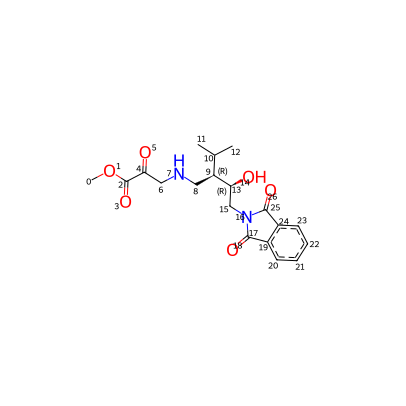 COC(=O)C(=O)CNC[C@@H](C(C)C)[C@@H](O)CN1C(=O)c2ccccc2C1=O